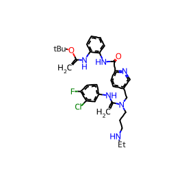 C=C(Nc1ccccc1NC(=O)c1ccc(CN(CCCNCC)C(=C)Nc2ccc(F)c(Cl)c2)cn1)OC(C)(C)C